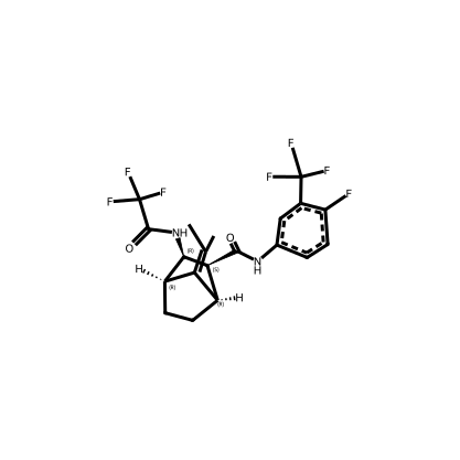 CC(C)=C1[C@H]2CC[C@@H]1[C@H](C(=O)Nc1ccc(F)c(C(F)(F)F)c1)[C@@H]2NC(=O)C(F)(F)F